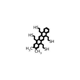 Cc1cc2c(CCS)c3cc4c(CCS)c5ccccc5c(CCS)c4cc3c(CCS)c2cc1C